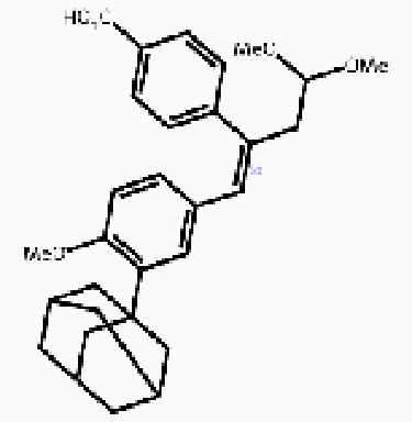 COc1ccc(/C=C(/CC(OC)OC)c2ccc(C(=O)O)cc2)cc1C12CC3CC(CC(C3)C1)C2